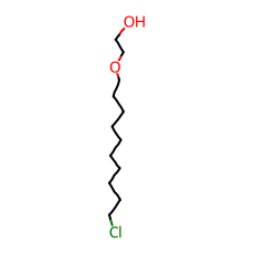 OCCOCCCCCCCCCCCl